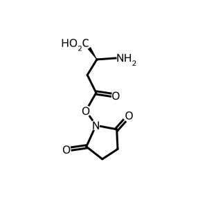 N[C@@H](CC(=O)ON1C(=O)CCC1=O)C(=O)O